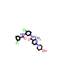 Cc1nc(N2CCC(O)CC2)ccc1C(=O)Nc1ccc(Cl)c(NC(=O)c2cccc(Cl)c2)c1